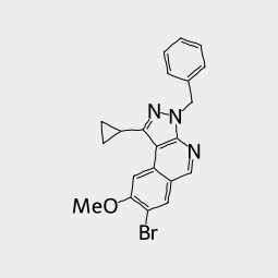 COc1cc2c(cnc3c2c(C2CC2)nn3Cc2ccccc2)cc1Br